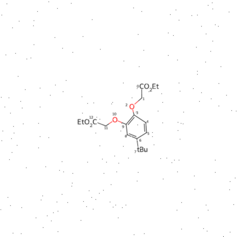 CCOC(=O)COc1ccc(C(C)(C)C)cc1OCC(=O)OCC